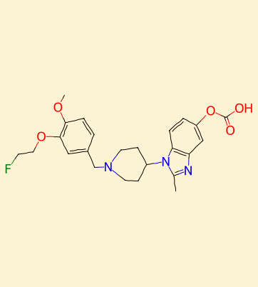 COc1ccc(CN2CCC(n3c(C)nc4cc(OC(=O)O)ccc43)CC2)cc1OCCF